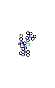 CCc1ccc(N(c2cc(-n3ccc4c(N(c5cccc6ccccc56)c5cccc6ccccc56)cccc43)c(Cl)c(-n3ccc4c(N(c5cccc6ccccc56)c5cccc6ccccc56)cccc43)c2)[C@H]2CCC2CC)cc1